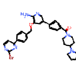 Nc1ncc(-c2ccc(C(=O)N3CCC(N4CCCC4)CC3)cc2)cc1OCc1ccc(-c2ccnc(Br)n2)cc1